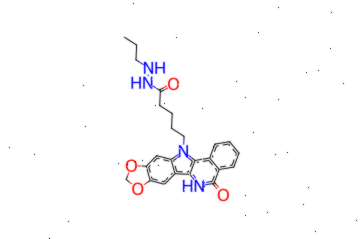 CCCNNC(=O)CCCCn1c2cc3c(cc2c2[nH]c(=O)c4ccccc4c21)OCO3